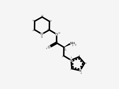 N[C@@H](Cn1ccnc1)C(=O)OC1CCCCO1